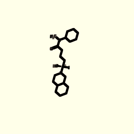 CN(C(=O)CCC[C@@](O)(I)N1CCC2CCCCC2C1)C1CCCCC1